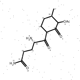 CC(=O)OC1C(=O)C(C(=O)[C@@H](N)CCC(N)=O)CCC1C